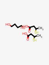 CC(S)CC(=O)O.CC(S)CC(=O)O.OCCCCO